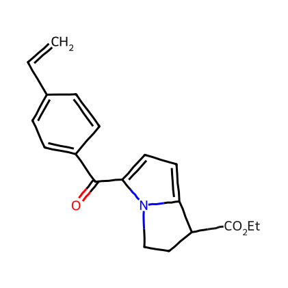 C=Cc1ccc(C(=O)c2ccc3n2CCC3C(=O)OCC)cc1